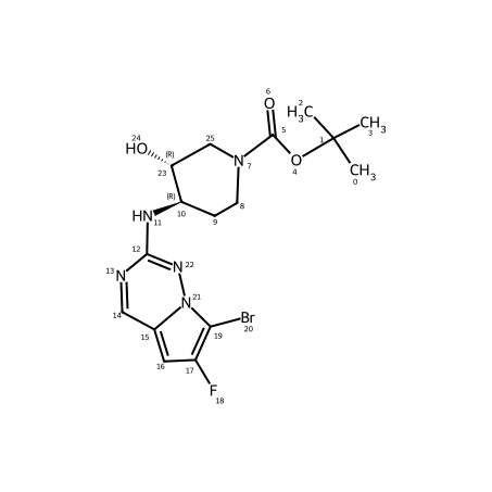 CC(C)(C)OC(=O)N1CC[C@@H](Nc2ncc3cc(F)c(Br)n3n2)[C@H](O)C1